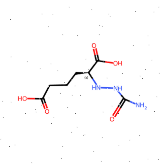 NC(=O)NN[C@@H](CCCC(=O)O)C(=O)O